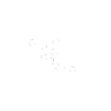 C1=CCC(c2ccc3c(c2)c2c4c(ccc2n3-c2cccc(C3=Cc5ccccc5CC3)c2)CC[C@H](c2ccccc2)C2=C4C=CCC2)C=C1